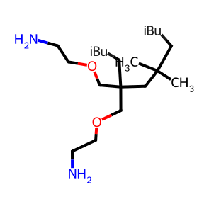 CCC(C)CC(C)(C)CC(COCCN)(COCCN)CC(C)CC